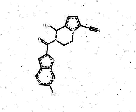 CC1c2ccc(C#N)n2CCN1C(=O)c1cc2ccc(Cl)cn2n1